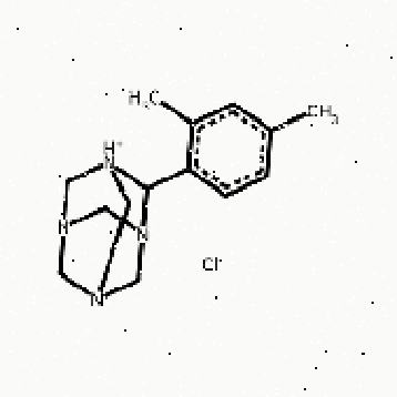 Cc1ccc(C2N3CN4CN(C3)C[NH+]2C4)c(C)c1.[Cl-]